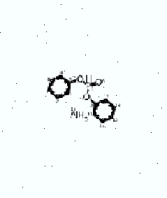 O=[PH](Oc1ccccc1)Oc1ccccc1.[AlH3]